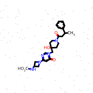 CC(CC(=O)N1CCC(O)(Cn2cnc(N3CC(NC(=O)O)C3)cc2=O)CC1)c1ccccc1